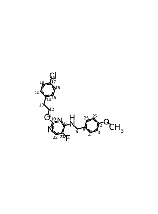 COc1ccc(CNc2nc(OCCc3ccc(Cl)cc3)ncc2F)cc1